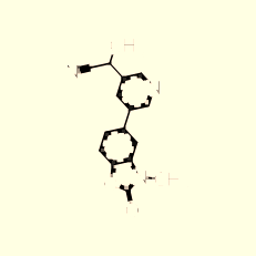 CC(C#N)c1cncc(-c2ccc3oc(=O)n(C)c3c2)c1